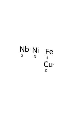 [Cu].[Fe].[Nb].[Ni]